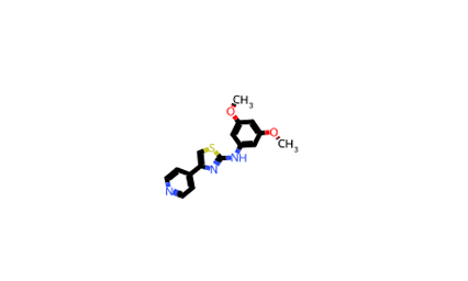 COc1cc(Nc2nc(-c3ccncc3)cs2)cc(OC)c1